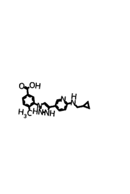 Cc1ccc(C(=O)O)cc1N1C=C(c2ccc(NCC3CC3)nc2)NN1